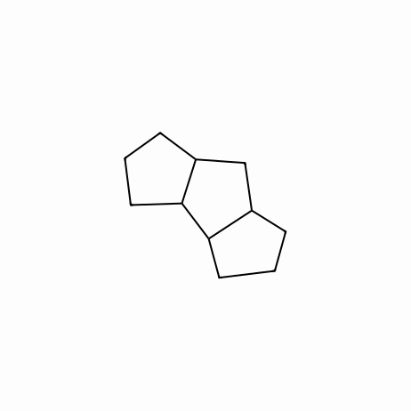 C1CC2CC3CCCC3C2C1